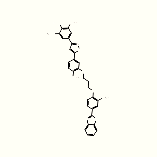 COc1cc(-c2nc3ccccc3s2)ccc1OCCCOc1cc(-c2cc(-c3cc(OC)c(OC)c(OC)c3)no2)ccc1OC